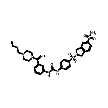 CCCCN1CCN(C(=N)c2cccc(NC(=O)Nc3ccc(S(=O)(=O)N4Cc5ccc(S(N)(=O)=O)cc5C4)cc3)c2)CC1